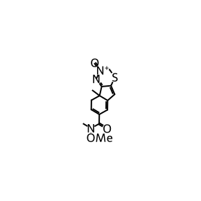 CON(C)C(=O)C1=CCC2(C)C(=C1)C=C1SC[N+](=O)N=C12